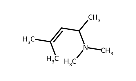 CC(C)=CC(C)N(C)C